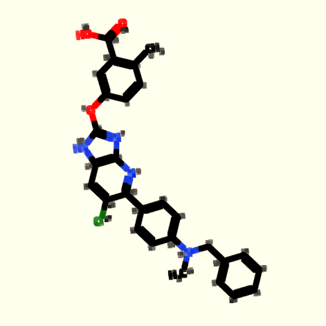 Cc1ccc(Oc2nc3nc(-c4ccc(N(C)Cc5ccccc5)cc4)c(Cl)cc3[nH]2)cc1C(=O)O